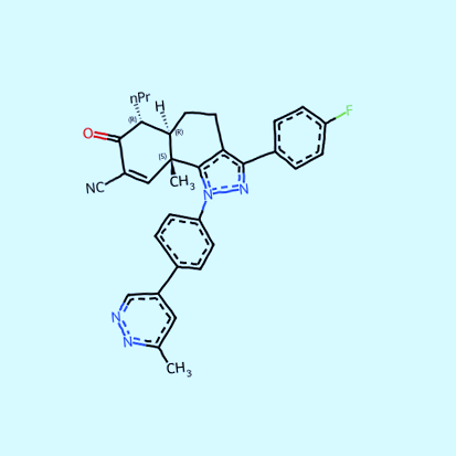 CCC[C@H]1C(=O)C(C#N)=C[C@@]2(C)c3c(c(-c4ccc(F)cc4)nn3-c3ccc(-c4cnnc(C)c4)cc3)CC[C@H]12